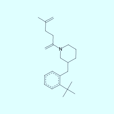 C=C(C)CCC(=C)N1CCCC(Cc2ccccc2C(C)(C)C)C1